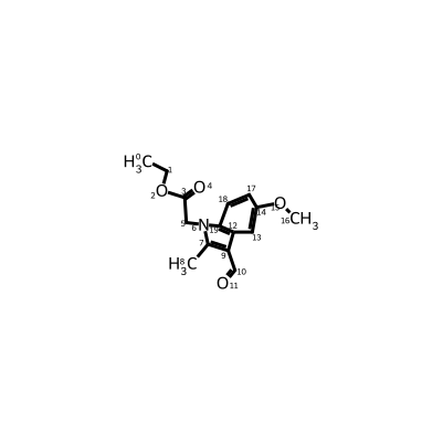 CCOC(=O)Cn1c(C)c(C=O)c2cc(OC)ccc21